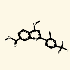 COC(=O)c1ccc2c(OC)cc(-c3ccc(C(F)(F)F)cc3C)nc2c1